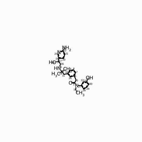 CCN(C(=O)Cc1cccc(CC(C)(C)NC[C@@H](O)c2ccc(N)nc2)c1)c1cccc(O)c1